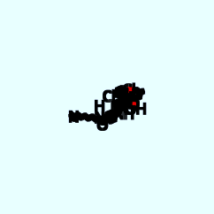 Cc1cc(C)c(C(c2cc(Cl)ccc2Cl)N(C(=O)O)c2ccnc(Nc3ccc(C(=O)NCCCCCCN(C)C)cc3)n2)c(C)c1